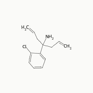 C=CCC(N)(CC=C)c1ccccc1Cl